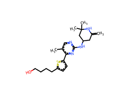 C=C1CC(Nc2ncc(C)c(-c3ccc(CCCCO)s3)n2)CC(C)(C)N1